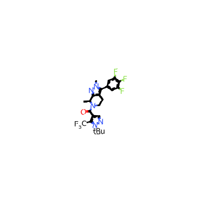 CC1c2nn(C)c(-c3cc(F)c(F)c(F)c3)c2CCN1C(=O)c1cnn(C(C)(C)C)c1C(F)(F)F